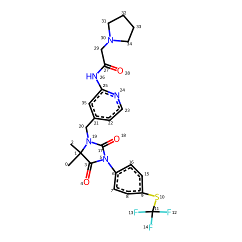 CC1(C)C(=O)N(c2ccc(SC(F)(F)F)cc2)C(=O)N1Cc1ccnc(NC(=O)CN2CCCC2)c1